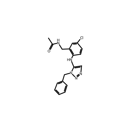 CC(=O)NCc1cc(Cl)ccc1Nc1cnnn1Cc1ccccc1